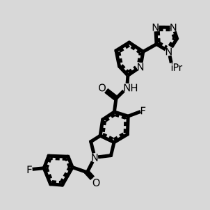 CC(C)n1cnnc1-c1cccc(NC(=O)c2cc3c(cc2F)CN(C(=O)c2ccc(F)cc2)C3)n1